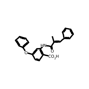 C/C(=C\c1ccccc1)C(=O)Nc1cc(Oc2ccccc2)ccc1C(=O)O